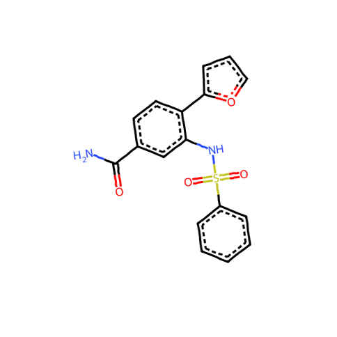 NC(=O)c1ccc(-c2ccco2)c(NS(=O)(=O)c2ccccc2)c1